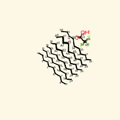 CCCCCCCCCC.CCCCCCCCCC.CCCCCCCCCC.CCCCCCCCCC.CCCCCCCCCC.CCCCCCCCCC.O=C(O)C(F)(F)F